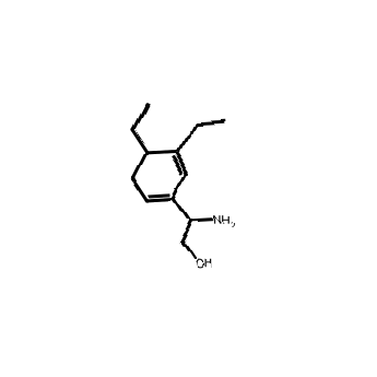 CCC1=CC(C(N)CO)=CCC1CC